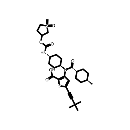 C=S1(=O)CCC(OC(=O)N[C@H]2CC[C@H](N(c3cc(C#CC(C)(C)C)sc3C(=O)O)C(=O)[C@H]3CC[C@H](C)CC3)CC2)C1